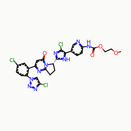 COCCOC(=O)Nc1ccc(-c2[nH]c([C@@H]3CCc4nc(-c5cc(Cl)ccc5-n5cc(Cl)nn5)cc(=O)n43)nc2Cl)cn1